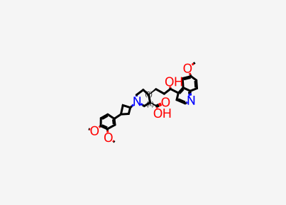 COc1ccc2nccc(C(O)CC[C@@H]3CCN(C4CC(c5ccc(OC)c(OC)c5)C4)C[C@@H]3C(=O)O)c2c1